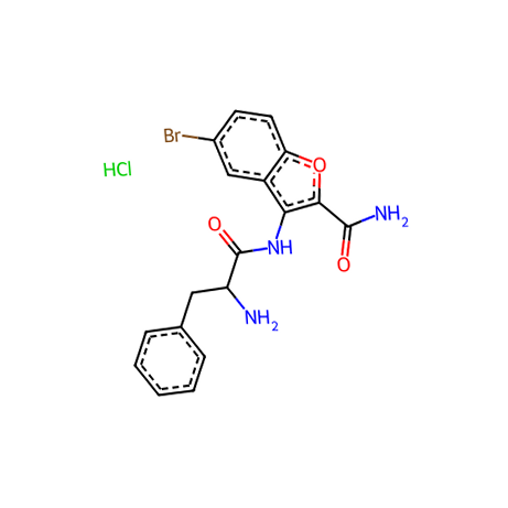 Cl.NC(=O)c1oc2ccc(Br)cc2c1NC(=O)C(N)Cc1ccccc1